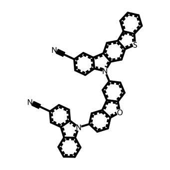 N#Cc1ccc2c(c1)c1ccccc1n2-c1ccc2oc3ccc(-n4c5ccc(C#N)cc5c5cc6c(cc54)sc4ccccc46)cc3c2c1